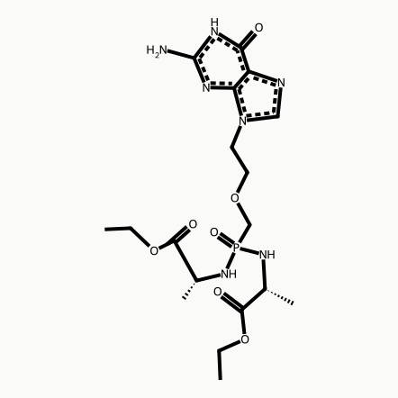 CCOC(=O)[C@@H](C)NP(=O)(COCCn1cnc2c(=O)[nH]c(N)nc21)N[C@H](C)C(=O)OCC